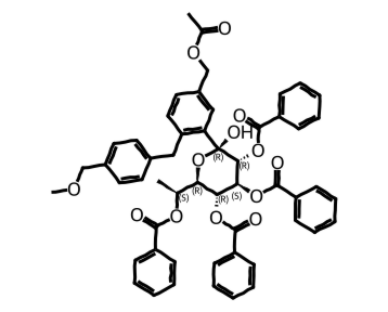 COCc1ccc(Cc2ccc(COC(C)=O)cc2[C@@]2(O)O[C@H]([C@H](C)OC(=O)c3ccccc3)[C@@H](OC(=O)c3ccccc3)[C@H](OC(=O)c3ccccc3)[C@H]2OC(=O)c2ccccc2)cc1